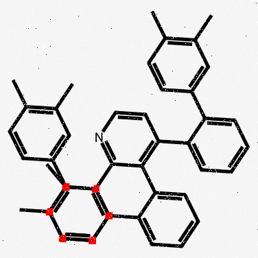 Cc1ccc(-c2ccccc2-c2ccnc(-c3ccccc3-c3ccc(C)c(C)c3)c2-c2ccccc2-c2ccc(C)c(C)c2)cc1C